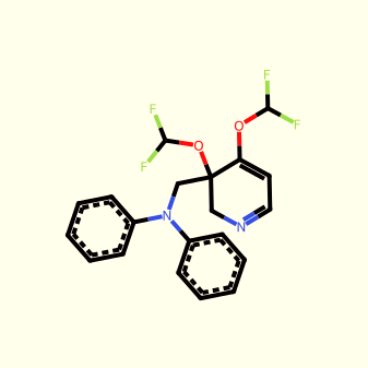 FC(F)OC1=CC=NCC1(CN(c1ccccc1)c1ccccc1)OC(F)F